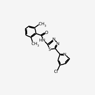 Cc1cccc(C)c1C(=O)Nc1nnc(-c2cc(Cl)ccn2)s1